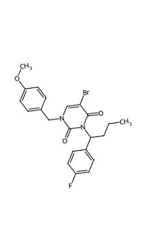 CCCC(c1ccc(F)cc1)n1c(=O)c(Br)cn(Cc2ccc(OC)cc2)c1=O